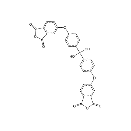 O=C1OC(=O)c2cc(Oc3ccc(C(O)(O)c4ccc(Oc5ccc6c(c5)C(=O)OC6=O)cc4)cc3)ccc21